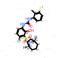 Cc1c(F)cccc1NC(=O)Nc1ccc(Cl)c(S(=O)(=O)N2[C@@H]3CCC[C@H]2CC3)c1O